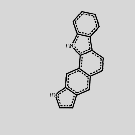 c1ccc2c(c1)[nH]c1c3cc4[nH]ccc4cc3ccc21